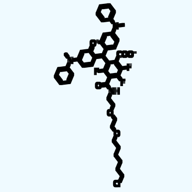 CN(c1ccccc1)c1ccc2c(-c3c(F)c(C(=O)NCCOCCOCCCCCCCl)c(F)c(F)c3C(=O)[O-])c3ccc(N(C)c4ccccc4)cc3[o+]c2c1